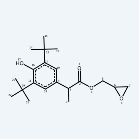 CC(C(=O)OCC1CO1)c1cc(C(C)(C)C)c(O)c(C(C)(C)C)c1